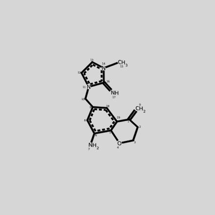 C=C1CCOc2c(N)cc(Cn3ccn(C)c3=N)cc21